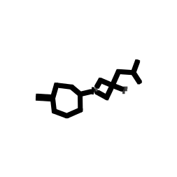 C=C1CCCC(N2CC(F)(CC(C)C)C2)CC1